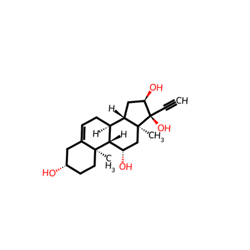 C#C[C@@]1(O)[C@H](O)C[C@H]2[C@@H]3CC=C4C[C@@H](O)CC[C@]4(C)[C@H]3[C@@H](O)C[C@@]21C